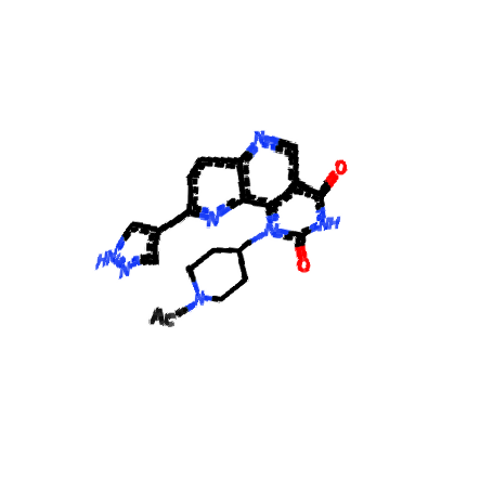 CC(=O)N1CCC(n2c(=O)[nH]c(=O)c3cnc4ccc(-c5cn[nH]c5)nc4c32)CC1